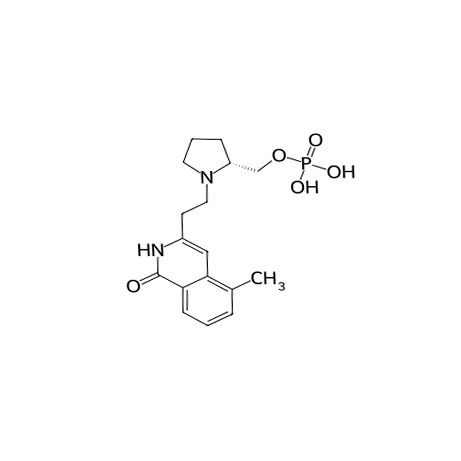 Cc1cccc2c(=O)[nH]c(CCN3CCC[C@@H]3COP(=O)(O)O)cc12